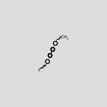 CCCC[C@H]1CC[C@H](c2ccc(-c3ccc([C@H]4CC[C@H](/C=C/CCF)CC4)cc3)cc2)CC1